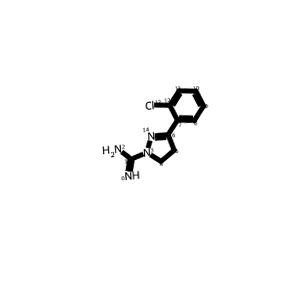 N=C(N)N1CCC(c2ccccc2Cl)=N1